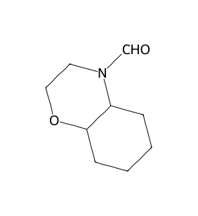 O=CN1CCOC2CCCCC21